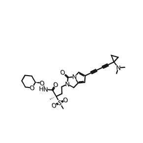 CN(C)C1(C#CC#Cc2cc3n(c2)C(=O)N(CC[C@](C)(C(=O)NO[C@@H]2CCCCO2)S(C)(=O)=O)C3)CC1